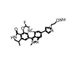 COCCn1cc(-c2cc(C#N)c3c(-c4cc(OC(F)F)c5c(c4)C(C)CNC5=O)n(C)nc3c2)cn1